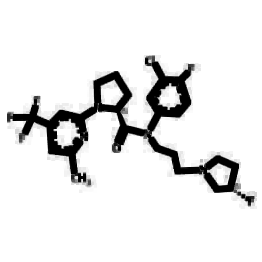 Cc1cc(C(F)(F)F)cc(N2CCC[C@H]2C(=O)N(CCCN2CC[C@H](F)C2)c2ccc(F)c(Cl)c2)n1